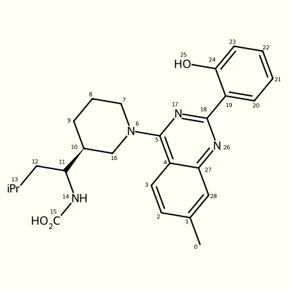 Cc1ccc2c(N3CCC[C@H](C(CC(C)C)NC(=O)O)C3)nc(-c3ccccc3O)nc2c1